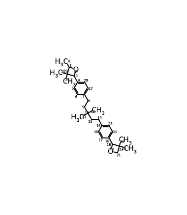 CC1OC(c2ccc(CCC(C)(C)CCc3ccc(C4OCC4(C)C)cc3)cc2)C1(C)C